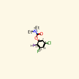 CCN(CC)C(=O)Oc1cc(Cl)cc(F)c1I